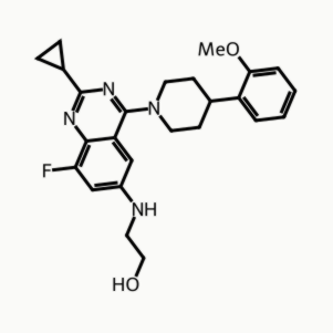 COc1ccccc1C1CCN(c2nc(C3CC3)nc3c(F)cc(NCCO)cc23)CC1